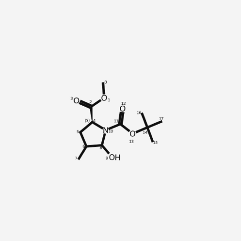 COC(=O)[C@@H]1CC(C)C(O)N1C(=O)OC(C)(C)C